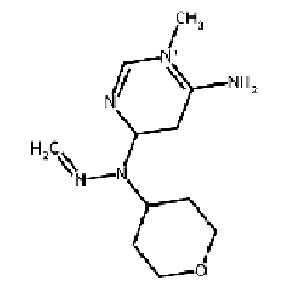 C=NN(C1CCOCC1)C1CC(N)=[N+](C)C=N1